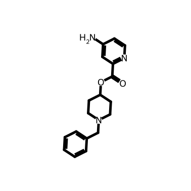 Nc1ccnc(C(=O)OC2CCN(Cc3ccccc3)CC2)c1